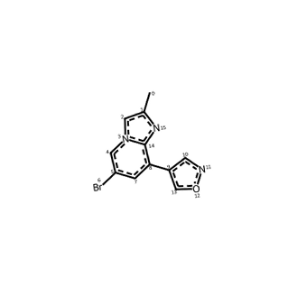 Cc1cn2cc(Br)cc(-c3cnoc3)c2n1